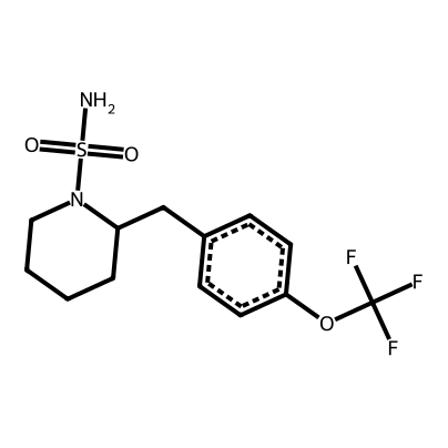 NS(=O)(=O)N1CCCCC1Cc1ccc(OC(F)(F)F)cc1